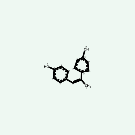 C/C(=C/c1ccc(O)cc1)c1ccc(O)cc1